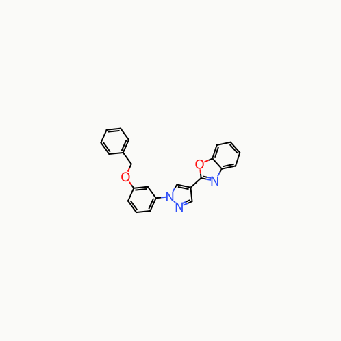 c1ccc(COc2cccc(-n3cc(-c4nc5ccccc5o4)cn3)c2)cc1